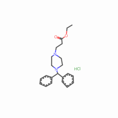 CCOC(=O)CCN1CCN(C(c2ccccc2)c2ccccc2)CC1.Cl